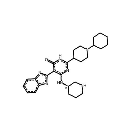 O=c1[nH]c(C2CCN(C3CCCCC3)CC2)nc(N[C@@H]2CCCNC2)c1-c1nc2ccccc2s1